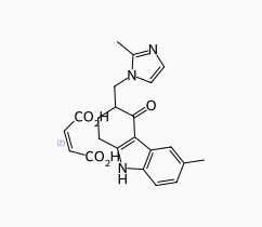 Cc1ccc2[nH]c3c(c2c1)C(=O)C(Cn1ccnc1C)CC3.O=C(O)/C=C\C(=O)O